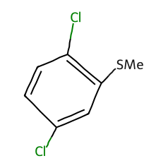 CSc1cc(Cl)ccc1Cl